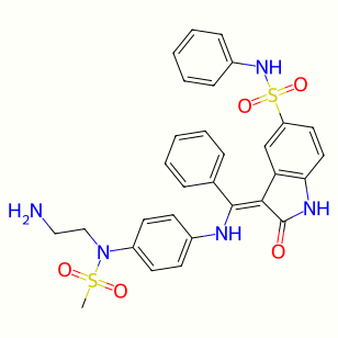 CS(=O)(=O)N(CCN)c1ccc(N/C(=C2\C(=O)Nc3ccc(S(=O)(=O)Nc4ccccc4)cc32)c2ccccc2)cc1